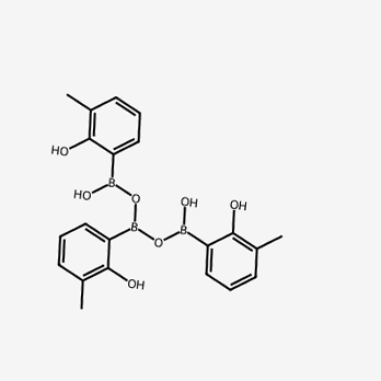 Cc1cccc(B(O)OB(OB(O)c2cccc(C)c2O)c2cccc(C)c2O)c1O